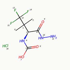 CC(C)([C@H](NC(=O)O)C(=O)NN)C(F)(F)F.Cl